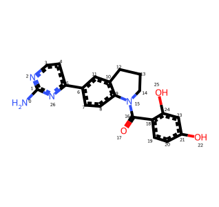 Nc1nccc(-c2ccc3c(c2)CCCN3C(=O)c2ccc(O)cc2O)n1